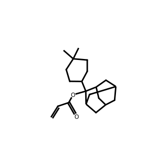 C=CC(=O)OC1(C2CCC(C)(C)CC2)C2CC3CC(C2)CC1C3